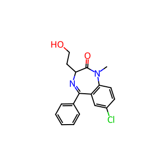 CN1C(=O)C(CCO)N=C(c2ccccc2)c2cc(Cl)ccc21